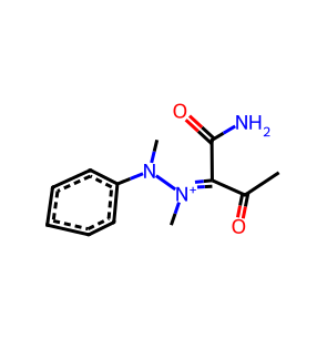 CC(=O)C(C(N)=O)=[N+](C)N(C)c1ccccc1